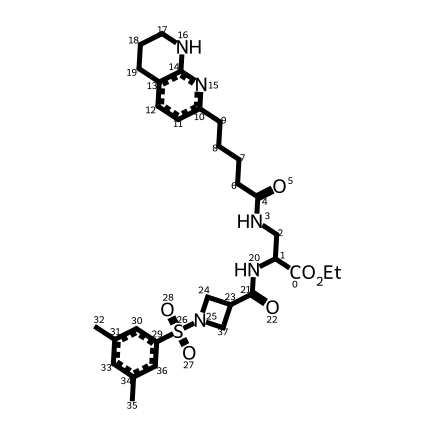 CCOC(=O)C(CNC(=O)CCCCc1ccc2c(n1)NCCC2)NC(=O)C1CN(S(=O)(=O)c2cc(C)cc(C)c2)C1